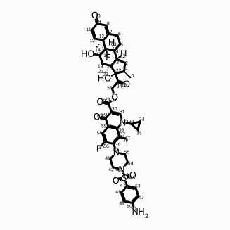 C[C@@H]1C[C@H]2[C@@H]3CCC4=CC(=O)C=C[C@]4(C)[C@@]3(F)C(O)C[C@]2(C)[C@@]1(O)C(=O)COC(=O)c1cn(C2CC2)c2c(F)c(N3CCN(S(=O)(=O)c4ccc(N)cc4)CC3)c(F)cc2c1=O